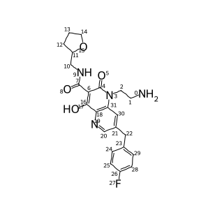 NCCn1c(=O)c(C(=O)NCC2CCCO2)c(O)c2ncc(Cc3ccc(F)cc3)cc21